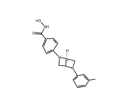 Cc1cccc(N2C[C@H]3C2CN3c2ccc(C(=O)NO)cc2)c1